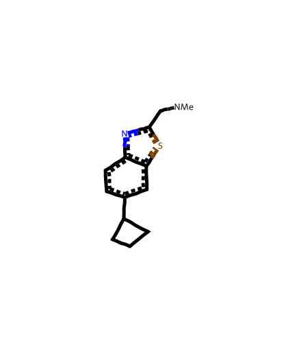 CNCc1nc2ccc(C3CCC3)cc2s1